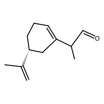 C=C(C)[C@@H]1CCC=C(C(C)C=O)C1